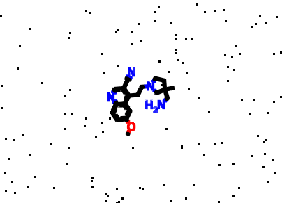 COc1ccc2ncc(C#N)c(CCN3CCC(C)(CN)C3)c2c1